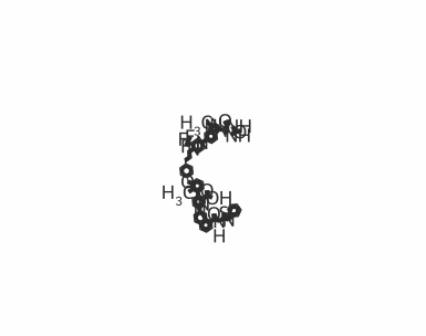 Cc1c(O[C@H]2CC[C@H](CCCN3CCN(c4ccc5c(C6CNC(=O)NC6=O)nn(C)c5c4)C[C@H]3C(F)(F)F)CC2)cccc1-c1ccc(N2CCc3cccc(C(=O)Nc4nc5ccccc5s4)c3C2)nc1C(=O)O